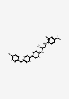 COc1ccc(NCC(O)CN2CCC(c3ccc(Cc4ccc(F)cc4)cc3)CC2)c(C)c1